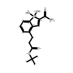 CC(C)(C)OC(=O)CCc1cccc2c1C=C(C(N)=O)S2(O)O